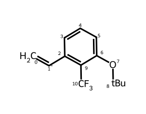 C=[C]c1cccc(OC(C)(C)C)c1C(F)(F)F